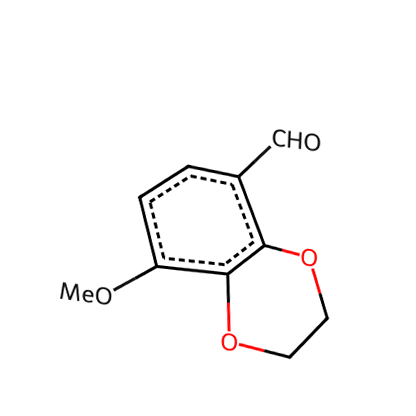 COc1ccc(C=O)c2c1OCCO2